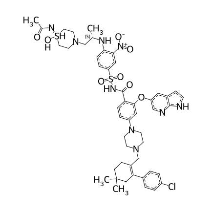 CC(=O)N=[SH]1(O)CCN(C[C@H](C)Nc2ccc(S(=O)(=O)NC(=O)c3ccc(N4CCN(CC5=C(c6ccc(Cl)cc6)CC(C)(C)CC5)CC4)cc3Oc3cnc4[nH]ccc4c3)cc2[N+](=O)[O-])CC1